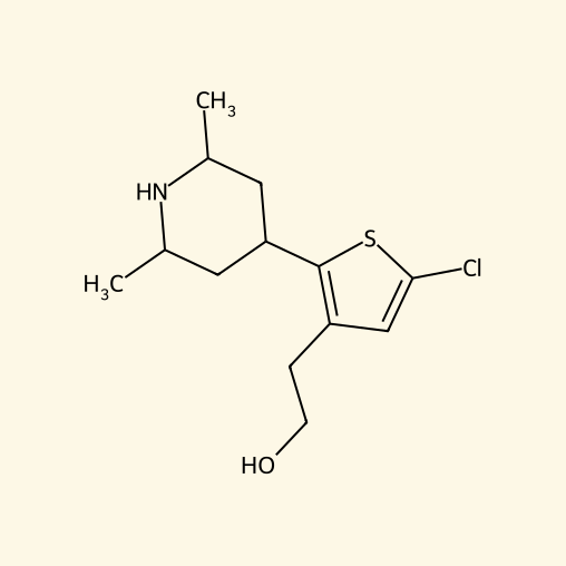 CC1CC(c2sc(Cl)cc2CCO)CC(C)N1